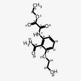 CCOC(=O)C(=O)Nc1cccc(OCCO)c1C(N)=O